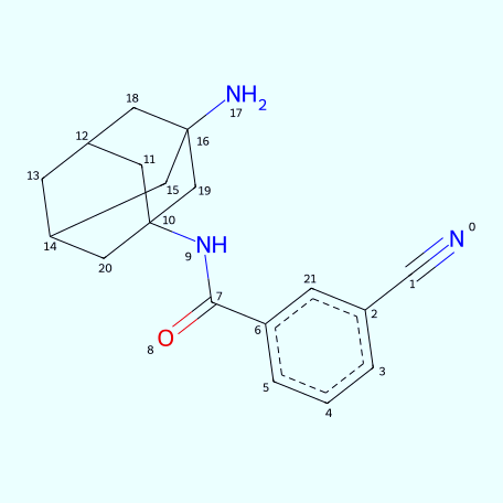 N#Cc1cccc(C(=O)NC23CC4CC(CC(N)(C4)C2)C3)c1